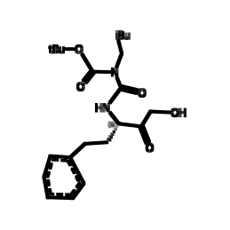 CCC(C)CN(C(=O)N[C@@H](CCc1ccccc1)C(=O)CO)C(=O)OC(C)(C)C